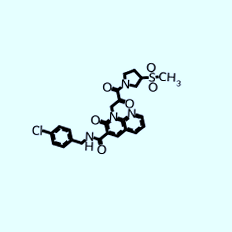 CS(=O)(=O)C1CCN(C(=O)C(=O)Cn2c(=O)c(C(=O)NCc3ccc(Cl)cc3)cc3cccnc32)C1